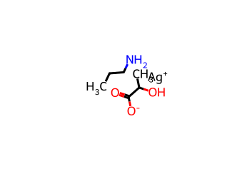 CC(O)C(=O)[O-].CCCN.[Ag+]